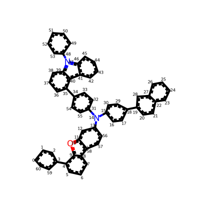 c1ccc(-c2cccc3c2oc2cc(N(c4ccc(-c5ccc6ccccc6c5)cc4)c4ccc(-c5cccc6c5c5ccccc5n6-c5ccccc5)cc4)ccc23)cc1